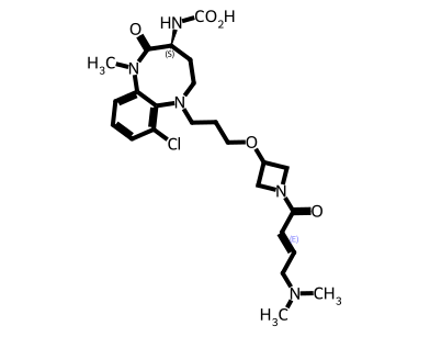 CN(C)C/C=C/C(=O)N1CC(OCCCN2CC[C@H](NC(=O)O)C(=O)N(C)c3cccc(Cl)c32)C1